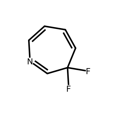 FC1(F)C=CC=CN=C1